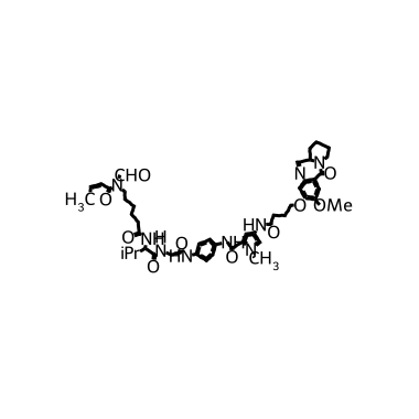 C/C=C\C(=O)N(C=O)CCCCCC(=O)NC(C(=O)NCC(=O)Nc1ccc(NC(=O)c2cc(NC(=O)CCCOc3cc4c(cc3OC)C(=O)N3CCCCC3C=N4)cn2C)cc1)C(C)C